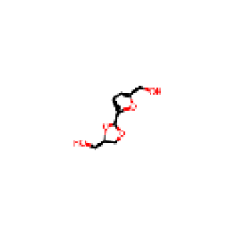 OCc1ccc(C2OCC(CO)O2)o1